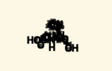 O=C(O)N1CCC[C@@H](Nc2cc(OCCO)nc(-c3cnn4ccccc34)n2)C1